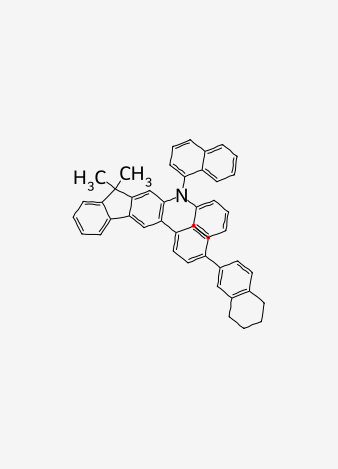 CC1(C)c2ccccc2-c2cc(-c3ccc(-c4ccc5c(c4)CCCC5)cc3)c(N(c3ccccc3)c3cccc4ccccc34)cc21